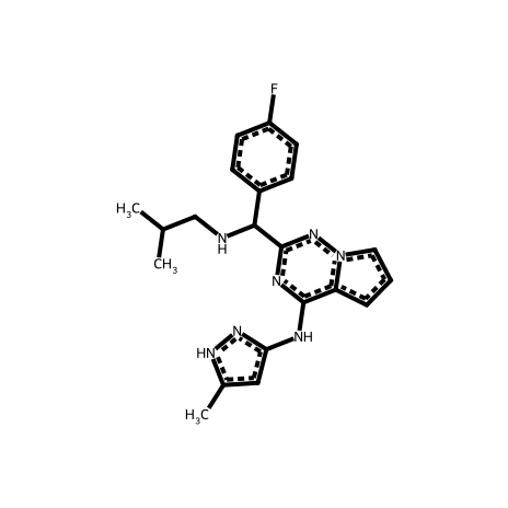 Cc1cc(Nc2nc(C(NCC(C)C)c3ccc(F)cc3)nn3cccc23)n[nH]1